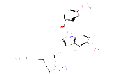 Cc1c(CC(=O)NC(C)CC(=O)O)c2c(F)c(O)c(F)cc2n1C(=O)c1ccc(OC(F)(F)F)cc1